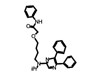 CC(C)N(CCCCOCC(=O)Nc1ccccc1)c1cnc(-c2ccccc2)c(-c2ccccc2)n1